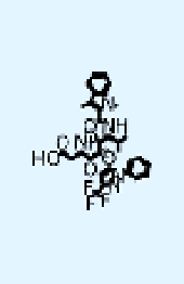 Cc1c(C(=O)N[C@H](C(=O)C(Oc2cc(C(F)(F)F)nn2-c2ccccc2)C(=O)C(N)CC(=O)O)C(C)C)n(C)c2ccccc12